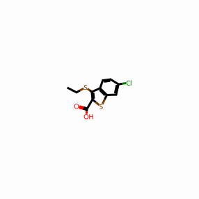 CCSc1c(C(=O)O)sc2cc(Cl)ccc12